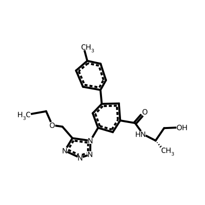 CCOCc1nnnn1-c1cc(C(=O)N[C@@H](C)CO)cc(-c2ccc(C)cc2)c1